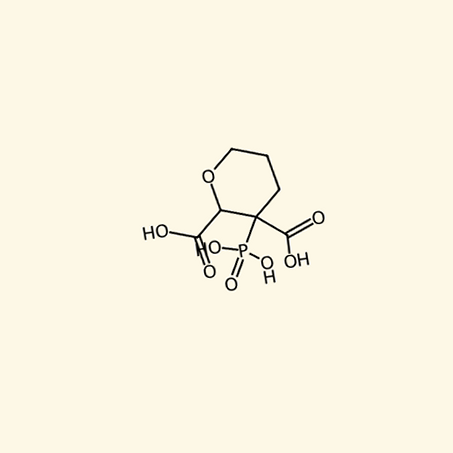 O=C(O)C1OCCCC1(C(=O)O)P(=O)(O)O